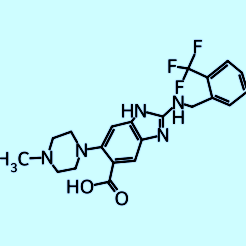 CN1CCN(c2cc3[nH]c(NCc4ccccc4C(F)(F)F)nc3cc2C(=O)O)CC1